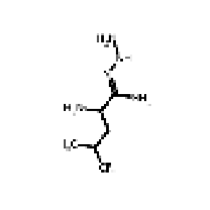 CC(CC(N)/C(N)=N/NN)C(F)(F)F